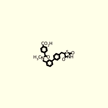 CN(Cc1cccc(-c2ccc(CC3SC(=O)NC3=O)cc2)c1)C(=O)c1ccc(C(=O)O)cc1